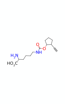 C#CC1CCCC1OC(=O)NCCCCC(N)C(=O)O